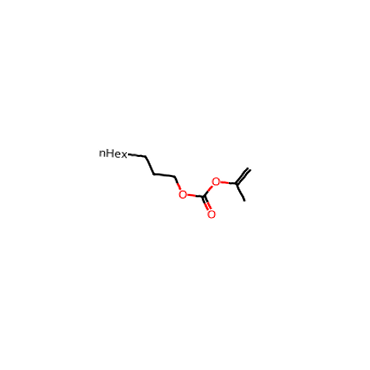 C=C(C)OC(=O)OCCCCCCCCC